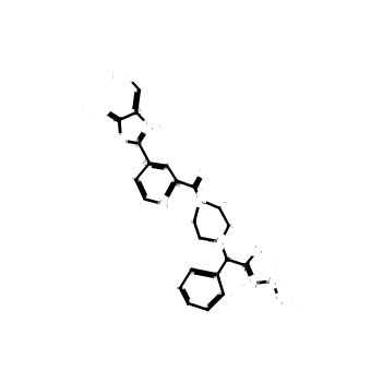 C=c1oc(-c2ccnc(C(=O)N3CCN(C(/C(N)=N/NN)c4ccccc4)CC3)c2)n/c1=C/C